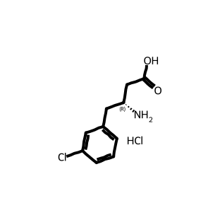 Cl.N[C@@H](CC(=O)O)Cc1cccc(Cl)c1